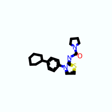 O=C(N=c1sccn1-c1ccc(C2CCCCC2)cc1)N1CCCC1